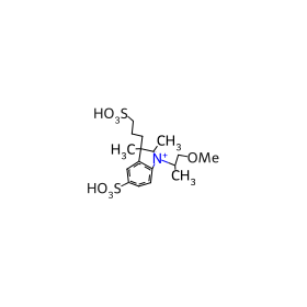 COCC(C)[N+]1=C(C)C(C)(CCCS(=O)(=O)O)c2cc(S(=O)(=O)O)ccc21